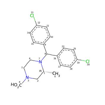 C[C@@H]1CN(C(=O)O)CCN1C(c1ccc(Cl)cc1)c1ccc(Cl)cc1